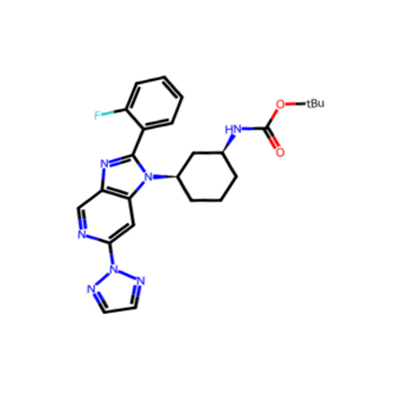 CC(C)(C)OC(=O)N[C@H]1CCC[C@@H](n2c(-c3ccccc3F)nc3cnc(-n4nccn4)cc32)C1